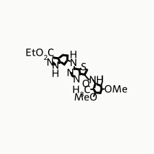 CCOC(=O)c1n[nH]c2cc(Nc3ncnc4c(C(=O)Nc5c(C)c(OC)cc(OC)c5I)csc34)ccc12